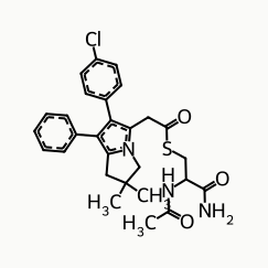 CC(=O)NC(CSC(=O)Cc1c(-c2ccc(Cl)cc2)c(-c2ccccc2)c2n1CC(C)(C)C2)C(N)=O